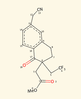 COC(=O)CC1(CC(F)(F)F)CCc2cc(CC#N)ccc2C1=O